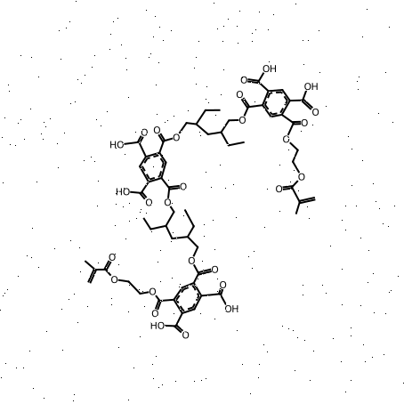 C=C(C)C(=O)OCCOC(=O)c1cc(C(=O)OCC(CC)CC(CC)COC(=O)c2cc(C(=O)OCC(CC)CC(CC)COC(=O)c3cc(C(=O)OCCOC(=O)C(=C)C)c(C(=O)O)cc3C(=O)O)c(C(=O)O)cc2C(=O)O)c(C(=O)O)cc1C(=O)O